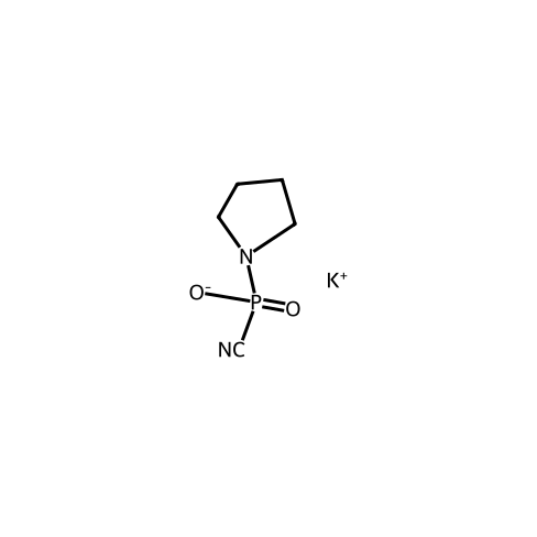 N#CP(=O)([O-])N1CCCC1.[K+]